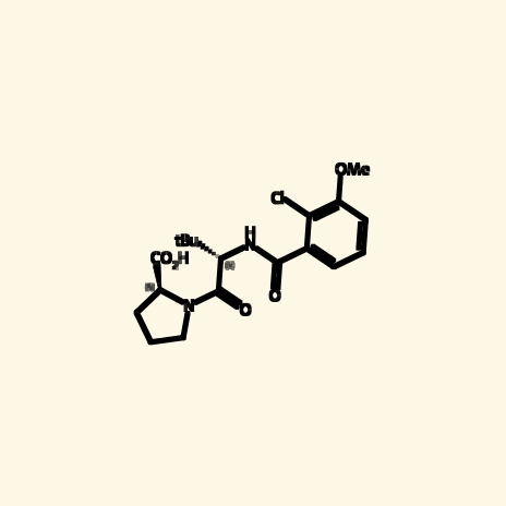 COc1cccc(C(=O)N[C@H](C(=O)N2CCC[C@H]2C(=O)O)C(C)(C)C)c1Cl